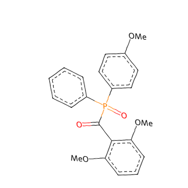 COc1ccc(P(=O)(C(=O)c2c(OC)cccc2OC)c2ccccc2)cc1